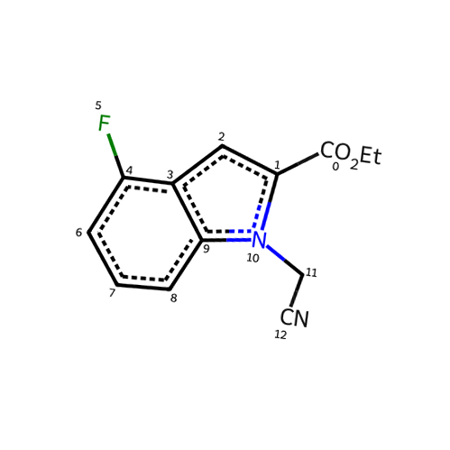 CCOC(=O)c1cc2c(F)cccc2n1CC#N